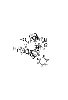 CC1=C2[C@@H](O)C(=O)[C@@]3(C)[C@H](C(OC(=O)c4ccccc4)[C@](O)(CC1)C2(C)C)[C@@H]1CO[C@@H]1C[C@@H]3O